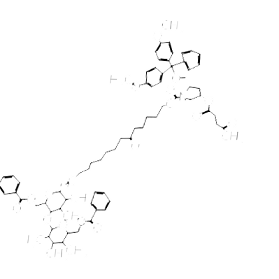 COc1ccc(C(OC[C@@H]2C[C@@H](OC(=O)CCC(C)=O)CN2C(=O)CCCCCCC(=O)CCCCCCCCOC2OC(COC(=O)c3ccccc3)C(OC3OC(COC(=O)c4ccccc4)C(C)C(C)C3C)C(C)C2C)(c2ccccc2)c2ccc(OC)cc2)cc1